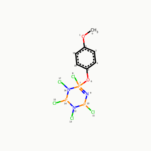 COc1ccc(OP2(Cl)=NP(Cl)N(Cl)P(Cl)N2Cl)cc1